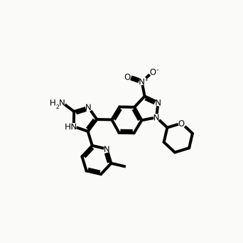 Cc1cccc(-c2[nH]c(N)nc2-c2ccc3c(c2)c([N+](=O)[O-])nn3C2CCCCO2)n1